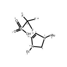 CCCCN1C=CN(CC)C1.O=S(=O)(O)C(F)(F)F